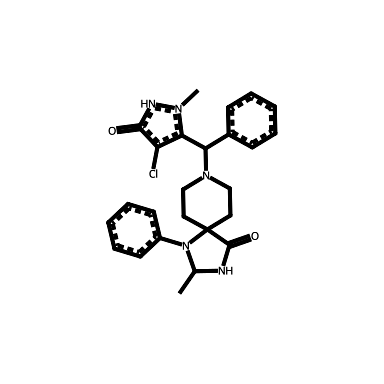 CC1NC(=O)C2(CCN(C(c3ccccc3)c3c(Cl)c(=O)[nH]n3C)CC2)N1c1ccccc1